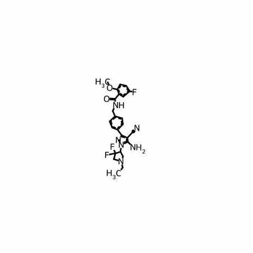 CCN1CC(n2nc(-c3ccc(CNC(=O)c4cc(F)ccc4OC)cc3)c(C#N)c2N)C(F)(F)C1